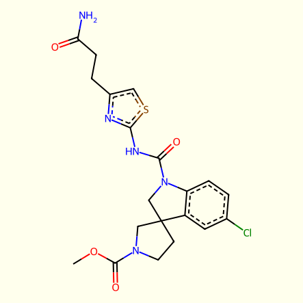 COC(=O)N1CCC2(C1)CN(C(=O)Nc1nc(CCC(N)=O)cs1)c1ccc(Cl)cc12